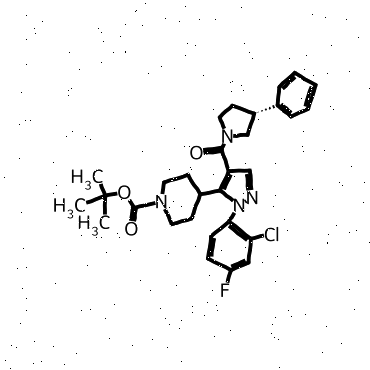 CC(C)(C)OC(=O)N1CCC(c2c(C(=O)N3CC[C@H](c4ccccc4)C3)cnn2-c2ccc(F)cc2Cl)CC1